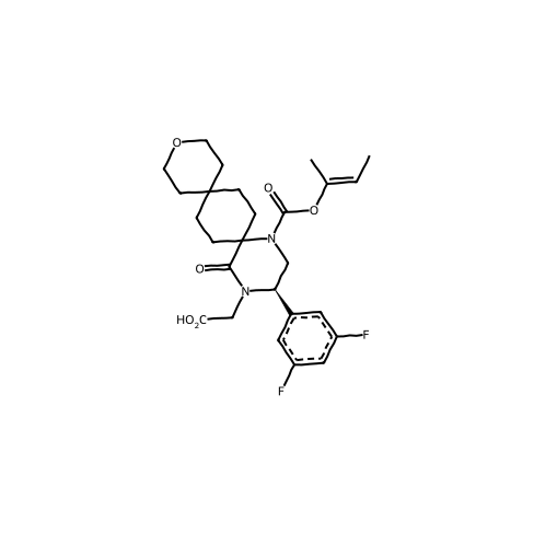 C/C=C(\C)OC(=O)N1C[C@@H](c2cc(F)cc(F)c2)N(CC(=O)O)C(=O)C12CCC1(CCOCC1)CC2